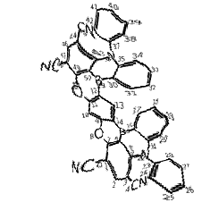 N#Cc1cc(C#N)c2c3c1Oc1cc4c(cc1B3c1ccccc1N2c1ccccc1)B1c2ccccc2N(c2ccccc2)c2c(C#N)cc(C#N)c(c21)O4